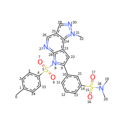 Cc1ccc(S(=O)(=O)n2c(-c3cccc(S(=O)(=O)N(C)C)c3)cc3c4c(cnc32)cnn4C)cc1